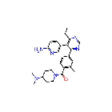 CCc1ncnc(-c2ccc(C(=O)N3CCC(N(C)C)CC3)c(C)c2)c1-c1ccc(N)nc1